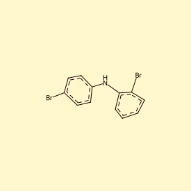 Brc1ccc(Nc2ccccc2Br)cc1